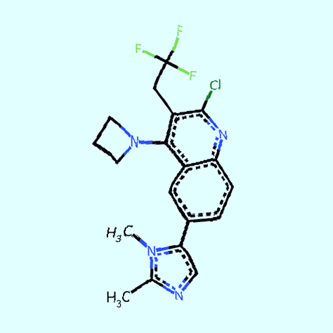 Cc1ncc(-c2ccc3nc(Cl)c(CC(F)(F)F)c(N4CCC4)c3c2)n1C